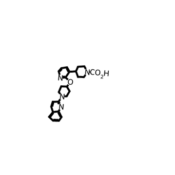 O=C(O)N1CCC(c2cccnc2OC2CCN(c3ccc4ccccc4n3)CC2)CC1